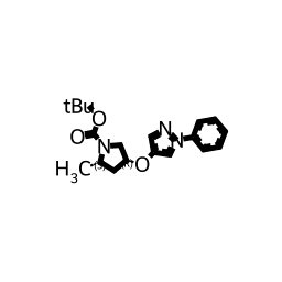 C[C@H]1C[C@@H](Oc2cnn(-c3ccccc3)c2)CN1C(=O)OC(C)(C)C